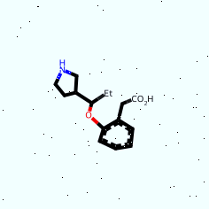 CCC(Oc1ccccc1CC(=O)O)C1CCNC1